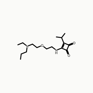 CCCN(CC)CCOCCNc1c(C(C)C)c(=O)c1=O